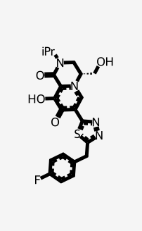 CC(C)N1C[C@H](CO)n2cc(-c3nnc(Cc4ccc(F)cc4)s3)c(=O)c(O)c2C1=O